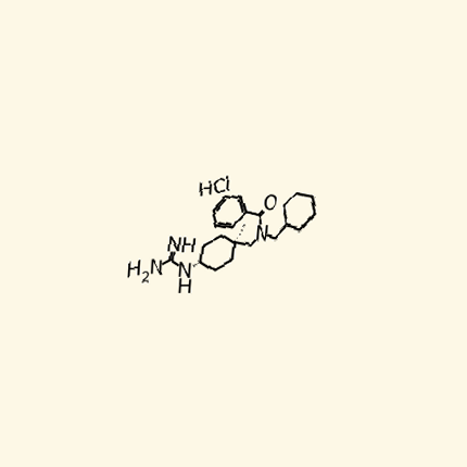 C[C@]1(CN(CC2CCCCC2)C(=O)c2ccccc2)CC[C@H](NC(=N)N)CC1.Cl